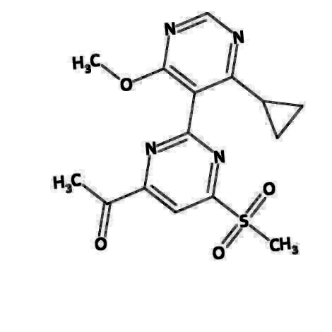 COc1ncnc(C2CC2)c1-c1nc(C(C)=O)cc(S(C)(=O)=O)n1